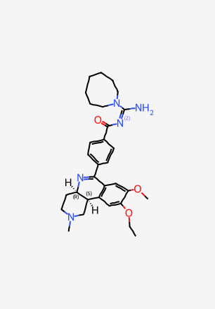 CCOc1cc2c(cc1OC)C(c1ccc(C(=O)/N=C(/N)N3CCCCCCC3)cc1)=N[C@@H]1CCN(C)C[C@H]21